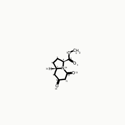 COC(=O)[C@@H]1CC[C@H]2CC(=O)CC(=O)N21